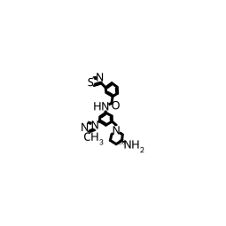 Cc1cn(-c2cc(CN3CCC[C@H](N)C3)cc(NC(=O)c3cccc(-c4cscn4)c3)c2)cn1